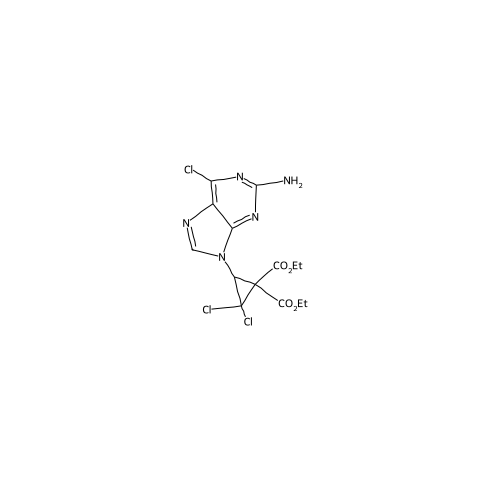 CCOC(=O)C1(C(=O)OCC)C(n2cnc3c(Cl)nc(N)nc32)C1(Cl)Cl